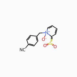 N#Cc1ccc(C[N+]2([O-])C=CC=CC2=S(=O)=O)cc1